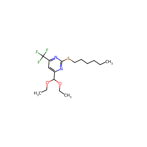 CCCCCCSc1nc(C(OCC)OCC)cc(C(F)(F)F)n1